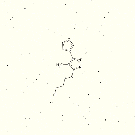 Cn1c(SCCCCl)nnc1-c1ccoc1